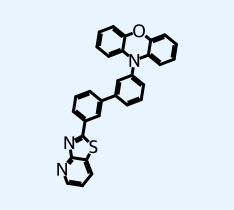 c1cc(-c2cccc(N3c4ccccc4Oc4ccccc43)c2)cc(-c2nc3ncccc3s2)c1